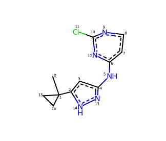 CC1(c2cc(Nc3ccnc(Cl)n3)n[nH]2)CC1